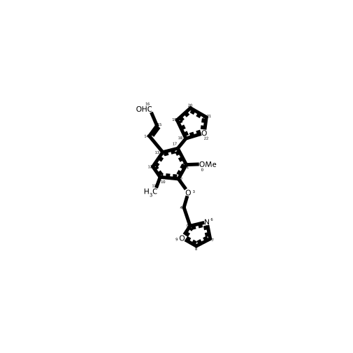 COc1c(OCc2ncco2)c(C)cc(C=CC=O)c1-c1ccco1